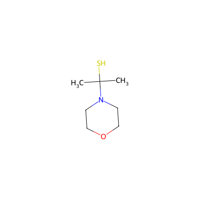 CC(C)(S)N1CCOCC1